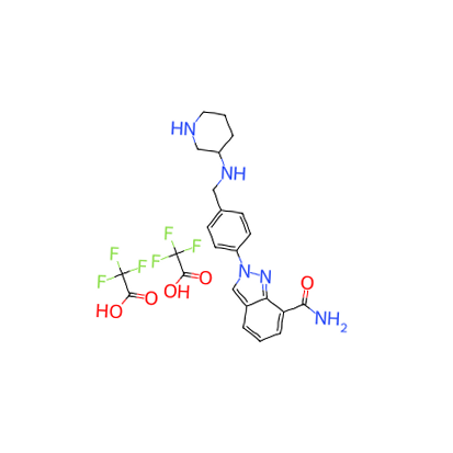 NC(=O)c1cccc2cn(-c3ccc(CNC4CCCNC4)cc3)nc12.O=C(O)C(F)(F)F.O=C(O)C(F)(F)F